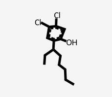 CCCCCC(CC)c1cc(Cl)c(Cl)cc1O